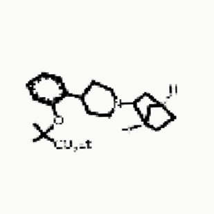 CCOC(=O)C(C)(C)Oc1ccccc1C1CCN([C@H]2C[C@H]3CC[C@H]2C3)CC1